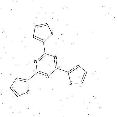 c1csc(-c2nc(-c3cccs3)nc(-c3cccs3)n2)c1